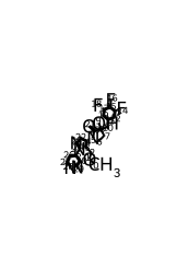 COCc1c(N2CCC(O)(Cc3cc(F)c(F)c(F)c3)C2=O)cnn1-c1ccnnc1